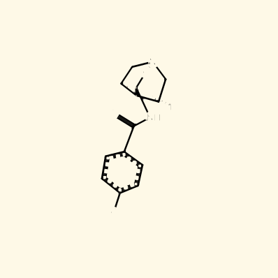 O=C(N[C@@H]1CN2CCC1CC2)c1ccc(C(F)(F)F)cc1